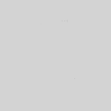 CCOc1cc2c(cc1/C(CC)=C(/F)CO)C=CCC2(C)C